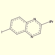 CC(C)c1cnc2cc(I)ccc2n1